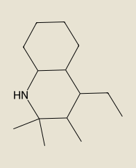 CCC1C2CCCCC2NC(C)(C)C1C